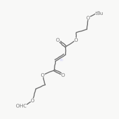 CC(C)(C)OCCOC(=O)/C=C/C(=O)OCCOC=O